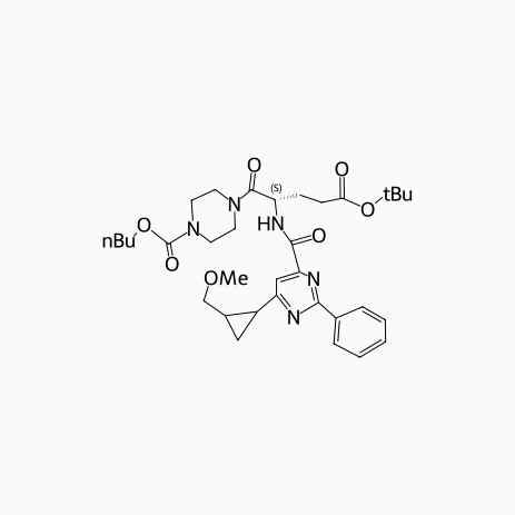 CCCCOC(=O)N1CCN(C(=O)[C@H](CCC(=O)OC(C)(C)C)NC(=O)c2cc(C3CC3COC)nc(-c3ccccc3)n2)CC1